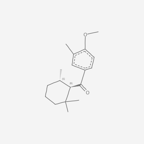 COc1ccc(C(=O)[C@@H]2[C@@H](C)CCCC2(C)C)cc1C